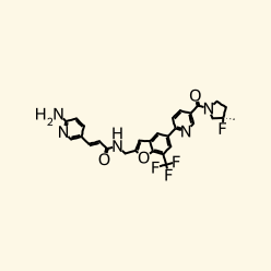 C[C@@]1(F)CCN(C(=O)c2ccc(-c3cc(C(F)(F)F)c4oc(CNC(=O)C=Cc5ccc(N)nc5)cc4c3)nc2)C1